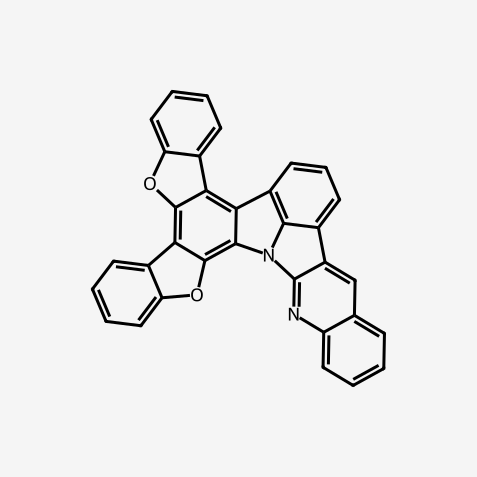 c1ccc2nc3c(cc2c1)c1cccc2c4c5c6ccccc6oc5c5c6ccccc6oc5c4n3c12